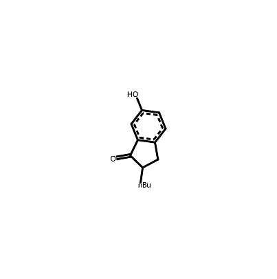 CCCCC1Cc2ccc(O)cc2C1=O